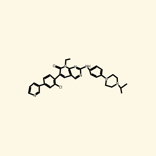 CCn1c(=O)c(-c2ccc(-c3cccnc3)cc2Cl)cc2cnc(Nc3ccc(N4CCN(C(C)C)CC4)cc3)nc21